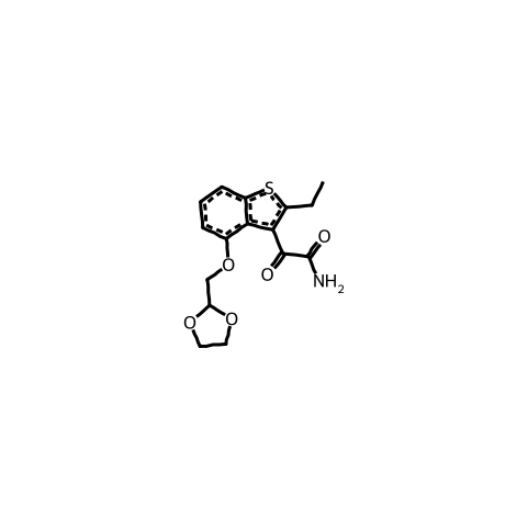 CCc1sc2cccc(OCC3OCCO3)c2c1C(=O)C(N)=O